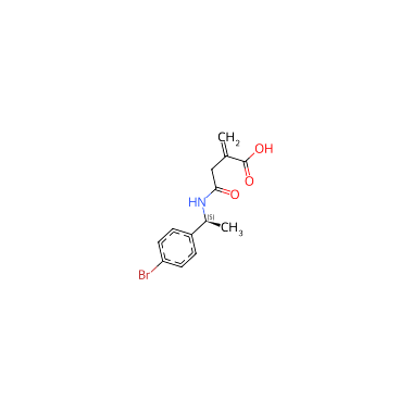 C=C(CC(=O)N[C@@H](C)c1ccc(Br)cc1)C(=O)O